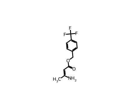 C/C(N)=C/C(=O)OCc1ccc(C(F)(F)F)cc1